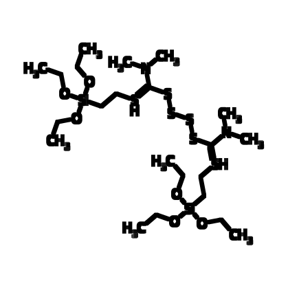 CCO[Si](CC[SH]=C(SSSSC(=[SH]CC[Si](OCC)(OCC)OCC)N(C)C)N(C)C)(OCC)OCC